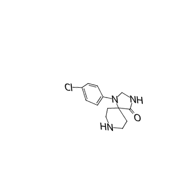 O=C1NCN(c2ccc(Cl)cc2)C12CCNCC2